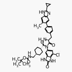 Cc1cc2[nH]c(C3CC3)nc2cc1-c1ccc(C[C@H](N)C(=O)N(c2cc(Cl)c3[nH]c(=O)[nH]c3c2)C(=O)[C@H]2CC[C@H](CNC(=O)OC(C)(C)C)CC2)cc1